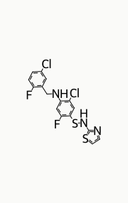 Fc1ccc(Cl)cc1CNc1cc(F)c(SNc2nccs2)cc1Cl